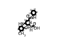 Cc1ccc(Nc2cc(NC(=O)O)nc(C(=O)Nc3ccccc3)c2)c(O)c1